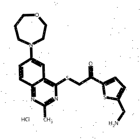 Cc1nc(SCC(=O)c2ccc(CN)s2)c2cc(N3CCCOCC3)ccc2n1.Cl